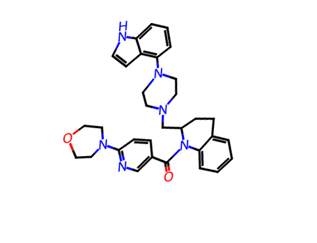 O=C(c1ccc(N2CCOCC2)nc1)N1c2ccccc2CCC1CN1CCN(c2cccc3[nH]ccc23)CC1